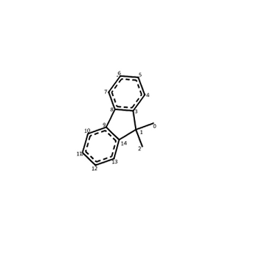 CC1(C)c2cc[c]cc2-c2c[c]ccc21